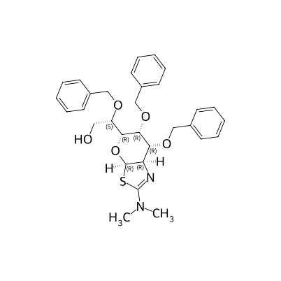 CN(C)C1=N[C@@H]2[C@@H](OCc3ccccc3)[C@@H](OCc3ccccc3)[C@@H]([C@H](CO)OCc3ccccc3)O[C@@H]2S1